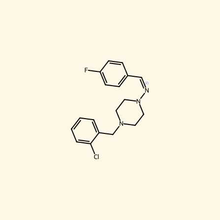 Fc1ccc(/C=N\N2CCN(Cc3ccccc3Cl)CC2)cc1